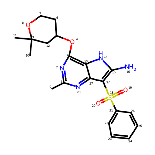 Cc1nc(OC2CCOC(C)(C)C2)c2[nH]c(N)c(S(=O)(=O)c3ccccc3)c2n1